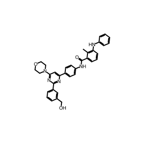 Cc1c(Nc2ccccc2)cccc1C(=O)Nc1ccc(-c2cc(N3CCOCC3)nc(-c3cccc(CO)c3)n2)cc1